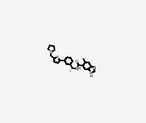 Cc1cc2nc[nH]c2cc1C(=O)N[C@H](C)c1cccc(-c2ccc(CN3CCCC3)s2)c1